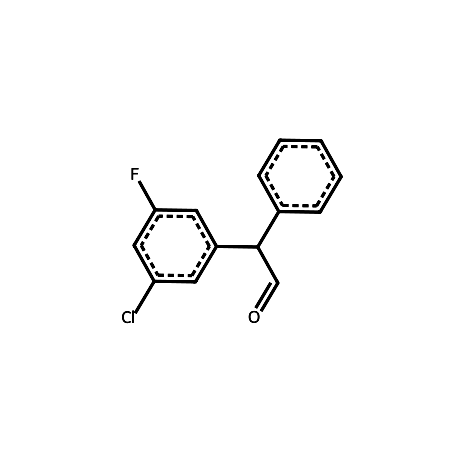 O=CC(c1ccccc1)c1cc(F)cc(Cl)c1